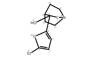 CCc1ccc(C2(O)CN3CCC2CC3)o1